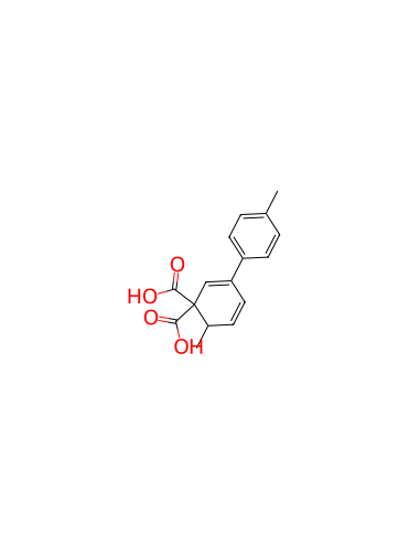 Cc1ccc(C2=CC(C(=O)O)(C(=O)O)C(C)C=C2)cc1